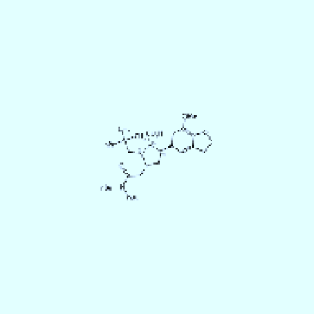 CCCCN(CCCC)C(=O)CN1C[C@H](c2cc3c(c(OC)c2)OCC3)[C@@H](C(=O)O)[C@@H]1CC(C)(C)CCC